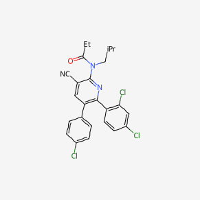 CCC(=O)N(CC(C)C)c1nc(-c2ccc(Cl)cc2Cl)c(-c2ccc(Cl)cc2)cc1C#N